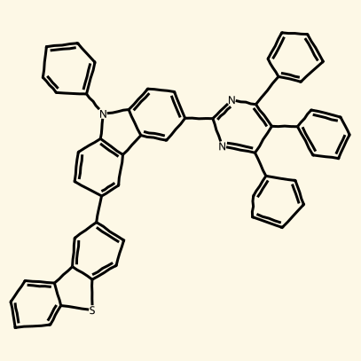 c1ccc(-c2nc(-c3ccc4c(c3)c3cc(-c5ccc6sc7ccccc7c6c5)ccc3n4-c3ccccc3)nc(-c3ccccc3)c2-c2ccccc2)cc1